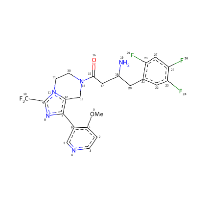 COc1ccncc1-c1nc(C(F)(F)F)n2c1CN(C(=O)CC(N)Cc1cc(F)c(F)cc1F)CC2